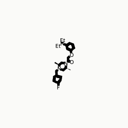 CCN(CC)c1cccc(OCC(=O)N2C[C@H](C)N(Cc3ccc(F)cc3)C[C@H]2C)c1